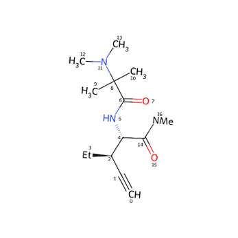 C#C[C@@H](CC)[C@H](NC(=O)C(C)(C)N(C)C)C(=O)NC